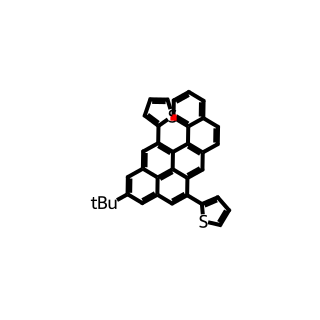 CC(C)(C)c1cc2cc(-c3cccs3)c3cc4ccc5ccccc5c4c4c(-c5cccs5)cc(c1)c2c34